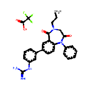 N=C(N)Nc1cccc(-c2ccc3c(c2)C(=O)N(CCC(=O)O)CC(=O)N3c2ccccc2)c1.O=C(O)C(F)(F)F